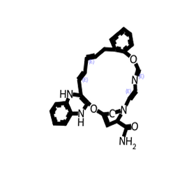 NC(=O)C1C=C2CN1/C=C/N=C/Oc1ccccc1C/C=C/C=C/C1=C(Nc3ccccc3N1)O2